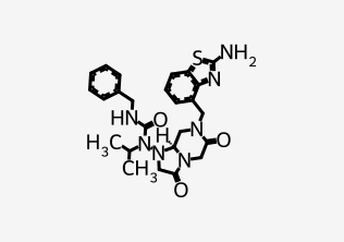 CC(C)N(C(=O)NCc1ccccc1)N1CC(=O)N2CC(=O)N(Cc3cccc4sc(N)nc34)C[C@@H]21